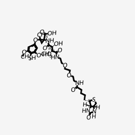 COc1cc(OC2(C)CC2(NC(=O)[C@H](O)[C@@H](O)C(=O)NCCOCCOCCNC(=O)CCCC[C@@H]2SC[C@@H]3NC(=O)N[C@@H]32)C(=O)O)cc(OC)c1S